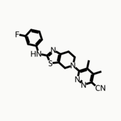 Cc1c(C#N)nnc(N2CCc3nc(Nc4cccc(F)c4)sc3C2)c1C